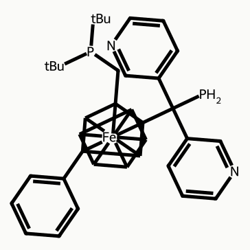 CC(C)(C)P(C[C]12[CH]3[C]4(c5ccccc5)[CH]5[C]1(C(P)(c1cccnc1)c1cccnc1)[Fe]35421678[CH]2[CH]1[CH]6[CH]7[CH]28)C(C)(C)C